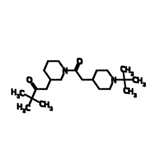 CC(C)(C)C(=O)CC1CCCN(C(=O)CC2CCN(C(C)(C)C)CC2)C1